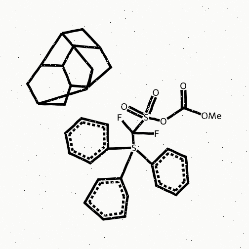 C1C2CC3C4CC5CC(C14)C(C2)C3C5.COC(=O)OS(=O)(=O)C(F)(F)S(c1ccccc1)(c1ccccc1)c1ccccc1